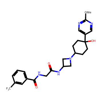 COc1ncc(C2(O)CCC(N3CC(NC(=O)CNC(=O)c4cccc(C(F)(F)F)c4)C3)CC2)cn1